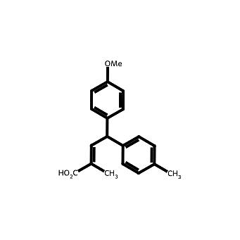 COc1ccc(C(C=C(C)C(=O)O)c2ccc(C)cc2)cc1